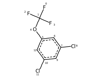 FC(F)(F)Oc1cc(Cl)cc(Cl)c1